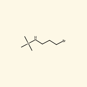 C[Si](C)(C)NCCCBr